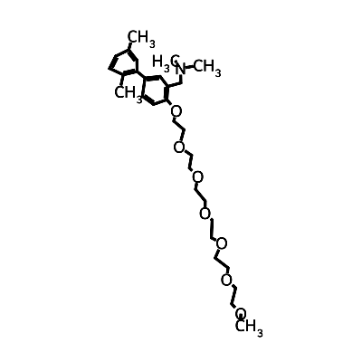 COCCOCCOCCOCCOCCOCCOc1ccc(-c2cc(C)ccc2C)cc1CN(C)C